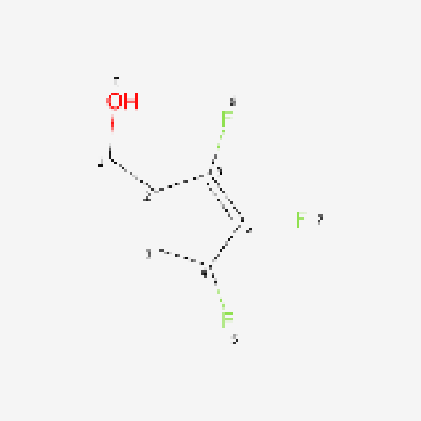 OCC1CC(F)C(F)=C1F